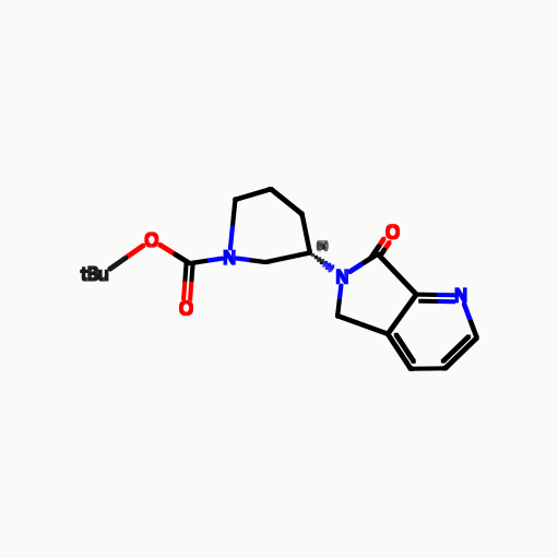 CC(C)(C)OC(=O)N1CCC[C@H](N2Cc3cccnc3C2=O)C1